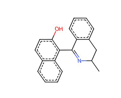 CC1Cc2ccccc2C(c2c(O)ccc3ccccc23)=N1